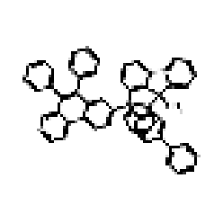 CC1(c2ccccc2)c2ccccc2-c2cccc(N(c3ccc(-c4ccccc4)cc3)c3ccc4c(c3)c(-c3ccccc3)c(-c3ccccc3)c3ccccc34)c21